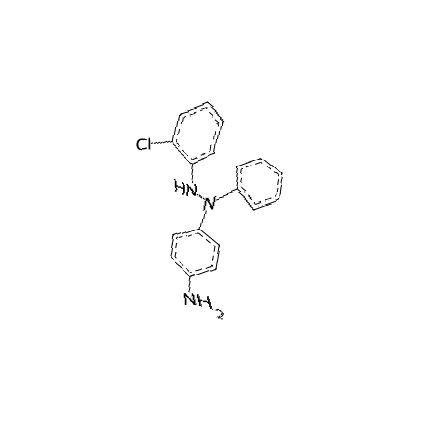 Nc1ccc(N(Nc2ccccc2Cl)c2ccccc2)cc1